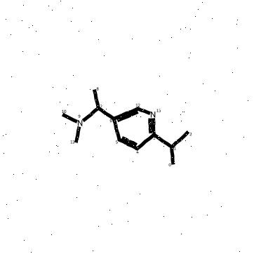 CC(C)c1ccc(C(C)N(C)C)cn1